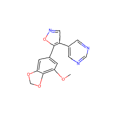 COc1cc(-c2oncc2-c2cncnc2)cc2c1OCO2